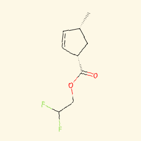 C[C@H]1C=C[C@@H](C(=O)OCC(F)F)C1